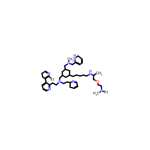 CCC1=C(c2cccnc2CCN(CCC2CC=CC=N2)CC2CC(CCCCCNC(C)COCCN(C)CC)CC(CN(C)CC3=CC=CCN3)C2)CCC=N1